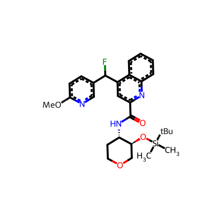 COc1ccc(C(F)c2cc(C(=O)N[C@H]3CCOC[C@@H]3O[Si](C)(C)C(C)(C)C)nc3ccccc23)cn1